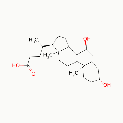 CC(CCC(=O)O)[C@H]1CCC2C3C(CCC21C)C1(C)CC[C@@H](O)CC1C[C@@H]3O